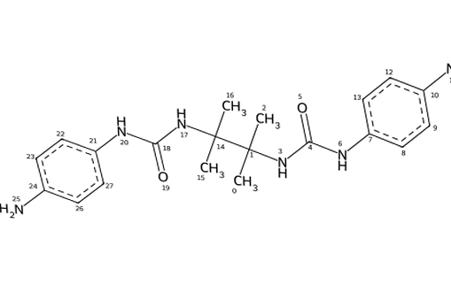 CC(C)(NC(=O)Nc1ccc(N)cc1)C(C)(C)NC(=O)Nc1ccc(N)cc1